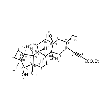 CCOC(=O)C#CC1C[C@]2(C)[C@H]3CC[C@@]4(C)[C@@H]([C@@H]5CC[C@@H]5[C@@H]4O)[C@@H]3CC[C@]2(O)C[C@H]1O